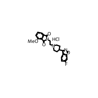 COc1cccc2c1C(=O)N(CCN1CCC(c3noc4cc(F)ccc34)CC1)C2=O.Cl